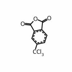 O=C1OC(=O)c2cc(C(Cl)(Cl)Cl)ccc21